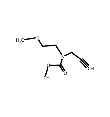 C#CCN(CCOC)C(=O)OC